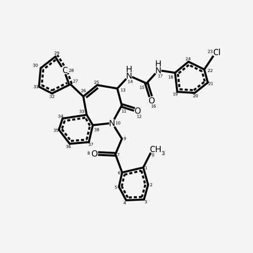 Cc1ccccc1C(=O)CN1C(=O)C(NC(=O)Nc2cccc(Cl)c2)C=C(c2ccccc2)c2ccccc21